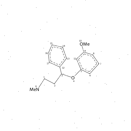 CNCCC(Oc1cccc(OC)c1)c1ccccc1